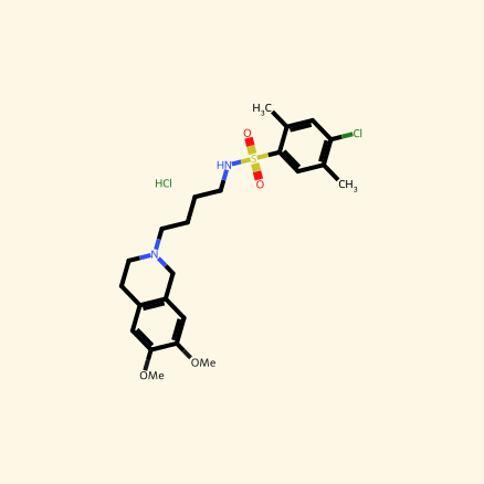 COc1cc2c(cc1OC)CN(CCCCNS(=O)(=O)c1cc(C)c(Cl)cc1C)CC2.Cl